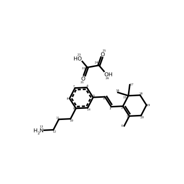 CC1=C(C=Cc2cccc(CCCN)c2)C(C)(C)CCC1.O=C(O)C(=O)O